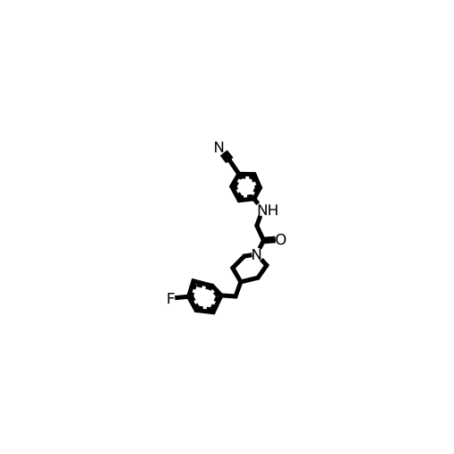 N#Cc1ccc(NCC(=O)N2CCC(Cc3ccc(F)cc3)CC2)cc1